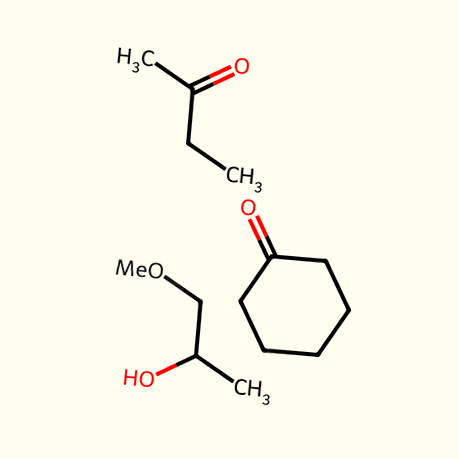 CCC(C)=O.COCC(C)O.O=C1CCCCC1